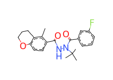 Cc1c(C(=O)NN(C(=O)c2cccc(F)c2)C(C)(C)C)ccc2c1CCCO2